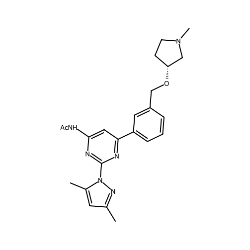 CC(=O)Nc1cc(-c2cccc(CO[C@@H]3CCN(C)C3)c2)nc(-n2nc(C)cc2C)n1